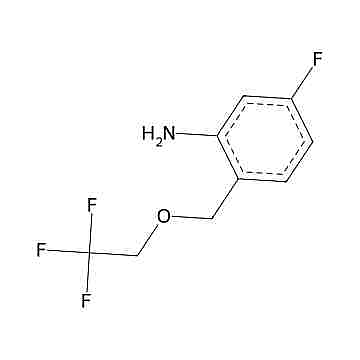 Nc1cc(F)ccc1COCC(F)(F)F